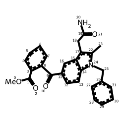 COC(=O)c1ccccc1C(=O)c1ccc2c(c1)c(CC(N)=O)c(C)n2Cc1ccccc1